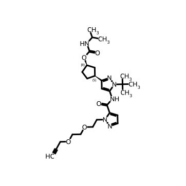 C#CCOCCOCCn1nccc1C(=O)Nc1cc([C@H]2CC[C@@H](OC(=O)NC(C)C)C2)nn1C(C)(C)C